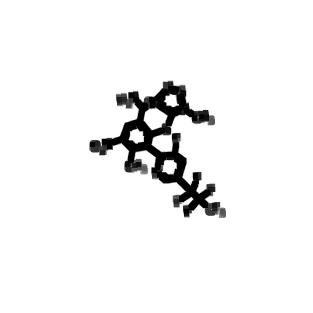 Cc1c([N+](=O)[O-])cc(C(N)=O)c(Sc2nnnn2C)c1-c1ncc(C(F)(F)C(F)(F)C(F)(F)F)cc1F